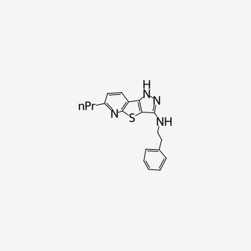 CCCc1ccc2c(n1)sc1c(NCCc3ccccc3)n[nH]c12